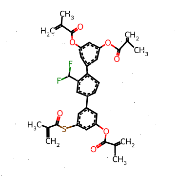 C=C(C)C(=O)Oc1cc(SC(=O)C(=C)C)cc(-c2ccc(-c3cc(OC(=O)C(=C)C)cc(OC(=O)C(=C)C)c3)c(C(F)F)c2)c1